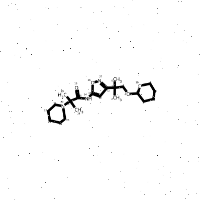 CC(C)(COC1CCCCO1)c1cc(NC(=O)C(C)(C)N2CCCCC2)on1